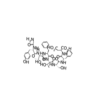 C[C@@H](O)[C@H](NC(=O)[C@H](Cc1ccccc1)NC(=O)[C@@H](NC(=O)[C@H](Cc1ccc(O)cc1)NC(=O)CN)[C@@H](C)O)C(=O)N[C@@H](CO)C(=O)N[C@@H](Cc1ccccc1)C(=O)N[C@@H](CC(=O)O)C(=O)O